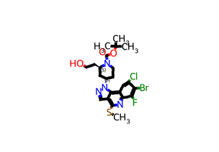 CSc1nc2c(F)c(Br)c(Cl)cc2c2c1cnn2[C@H]1CCN(C(=O)OC(C)(C)C)[C@H](CCO)C1